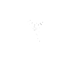 O=C(c1cnc2c(-c3cnco3)cc(C(F)(F)F)cn12)N1CCCC2(COC2)C1